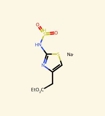 CCOC(=O)Cc1csc(N[SH](=O)=O)n1.[Na]